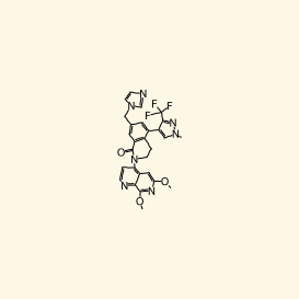 COc1cc2c(N3CCc4c(cc(Cn5ccnc5)cc4-c4cn(C)nc4C(F)(F)F)C3=O)ccnc2c(OC)n1